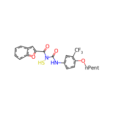 CCCCCOc1ccc(NC(=O)N(S)C(=O)c2cc3ccccc3o2)cc1C(F)(F)F